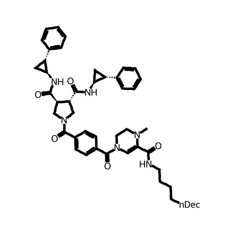 CCCCCCCCCCCCCCNC(=O)C1=CN(C(=O)c2ccc(C(=O)N3C[C@@H](C(=O)N[C@H]4C[C@@H]4c4ccccc4)[C@H](C(=O)N[C@H]4C[C@@H]4c4ccccc4)C3)cc2)CCN1C